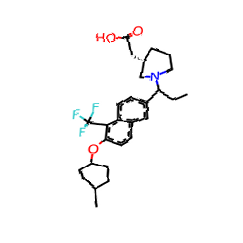 CCC(c1ccc2c(C(F)(F)F)c(OC3CCC(C)CC3)ccc2c1)N1CCC[C@@H](CC(=O)O)C1